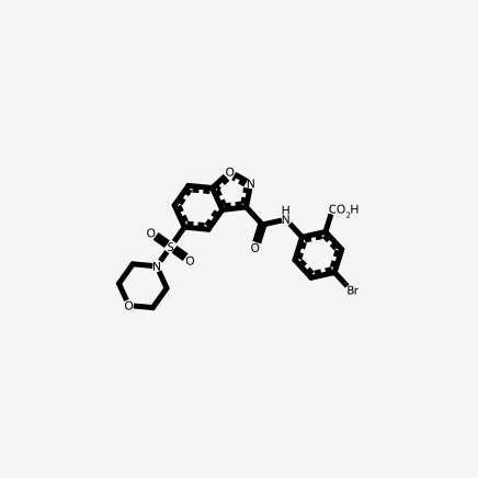 O=C(O)c1cc(Br)ccc1NC(=O)c1noc2ccc(S(=O)(=O)N3CCOCC3)cc12